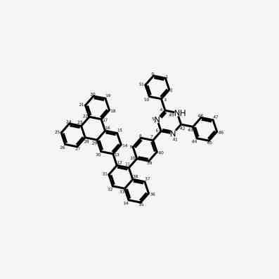 c1ccc(C2=NC(c3ccc(-c4c(-c5ccc6c7ccccc7c7ccccc7c6c5)ccc5ccccc45)cc3)=NC(c3ccccc3)N2)cc1